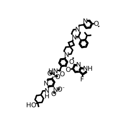 COc1ccc(CN2CCN(C3CC4(CCN(c5ccc(C(=O)NS(=O)(=O)c6cnc(NCC7CCC(C)(O)CC7)c([N+](=O)[O-])c6)c(Oc6cc7c(F)c[nH]c7nc6OC)c5)CC4)C3)[C@H](c3ccccc3C(C)C)C2)nc1